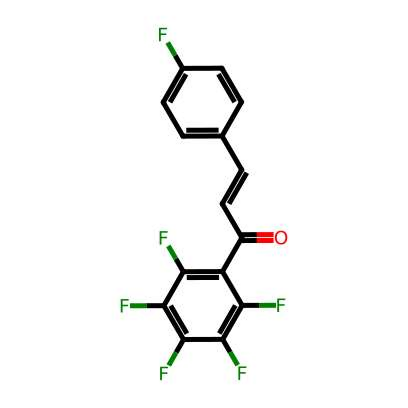 O=C(C=Cc1ccc(F)cc1)c1c(F)c(F)c(F)c(F)c1F